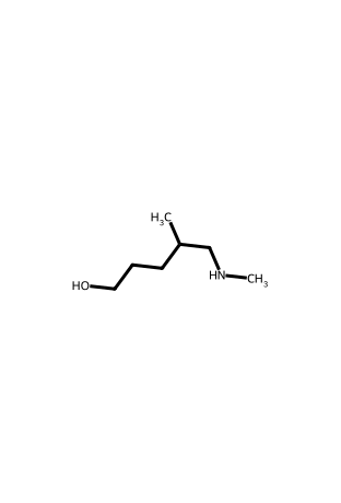 CNCC(C)CCCO